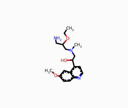 CCOC(CN)CN(C)CC(O)c1ccnc2ccc(OC)cc12